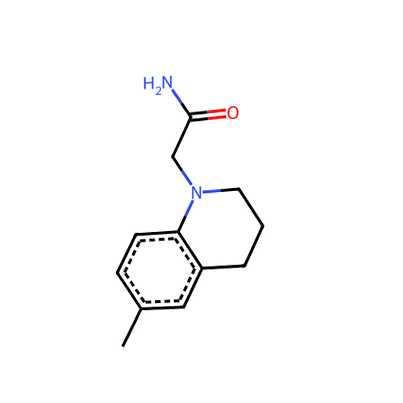 Cc1ccc2c(c1)CCCN2CC(N)=O